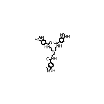 O=C(NCCN(CCNC(=O)c1ccc2[nH]nnc2c1)CCNC(=O)c1ccc2[nH]nnc2c1)c1ccc2[nH]nnc2c1